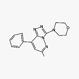 Cc1cc(-c2ccccc2)c2nnc(N3CCOCC3)n2n1